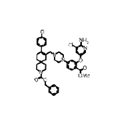 COC(=O)c1ccc(N2CCN(CC3=C(c4ccc(Cl)cc4)CCC4(CCN(C(=O)OCc5ccccc5)CC4)C3)CC2)cc1Oc1cnc(N)c(Cl)c1